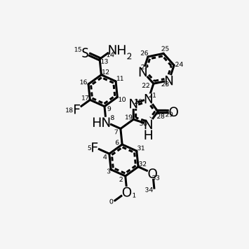 COc1cc(F)c(C(Nc2ccc(C(N)=S)cc2F)c2nn(-c3ncccn3)c(=O)[nH]2)cc1OC